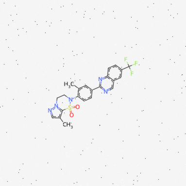 Cc1cc(-c2ncc3cc(C(F)(F)F)ccc3n2)ccc1N1CCn2ncc(C)c2S1(=O)=O